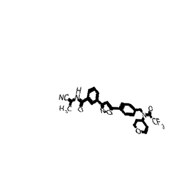 CC(C#N)NC(=O)c1cccc(-c2cc(-c3ccc(CN(C(=O)C(F)(F)F)C4CCOCC4)cc3)on2)c1